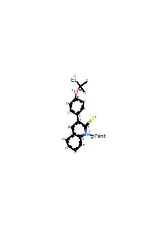 CCCC(C)n1c(=S)c(-c2ccc(OC(C)(C)CC)cc2)cc2ccccc21